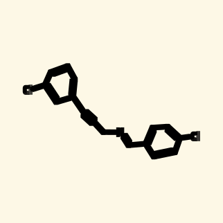 Clc1ccc(/C=N/CC#Cc2cccc(Cl)c2)cc1